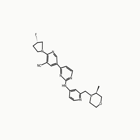 C[C@H]1COCCN1Cc1cc(Nc2nccc(-c3cnc(N4CC[C@H](F)C4)c(C#N)c3)n2)ccn1